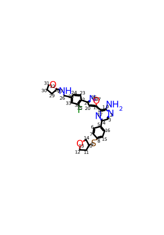 Nc1ncc(-c2ccc(SC3CCOC3)cc2)nc1-c1cc(-c2ccc(CNC3CCCO3)cc2F)no1